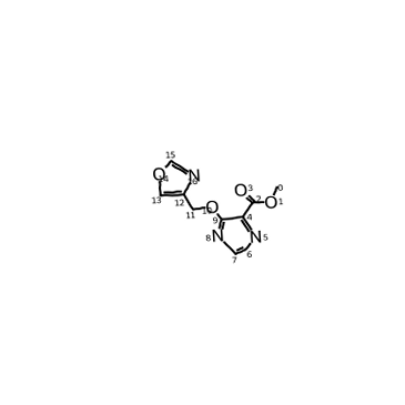 COC(=O)c1nccnc1OCc1cocn1